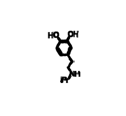 CC(C)NC[CH]c1ccc(O)c(O)c1